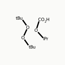 CC(C)(C)OOC(C)(C)C.CC(C)OC(=O)O